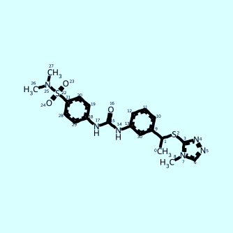 CC(Sc1nncn1C)c1cccc(NC(=O)Nc2ccc(S(=O)(=O)N(C)C)cc2)c1